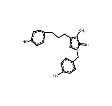 Cn1c(CCCc2ccc(O)cc2)cn(Cc2ccc(C(C)(C)C)cc2)c1=O